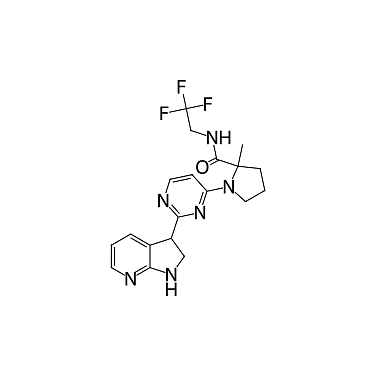 CC1(C(=O)NCC(F)(F)F)CCCN1c1ccnc(C2CNc3ncccc32)n1